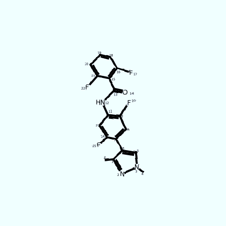 Cc1nn(C)cc1-c1cc(F)c(NC(=O)c2c(F)cccc2F)cc1F